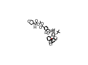 COc1cc(C(=O)OC(C)OC(=O)NC2CCOCC2)ccc1NC(=O)[C@@H]1N[C@@H](CC(C)(C)C)[C@](C)(c2ccc(Cl)cc2F)[C@H]1c1cccc(Cl)c1F